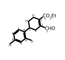 CCOC(=O)C1=C(C=O)CC(c2ccc(C)cc2C)CC1